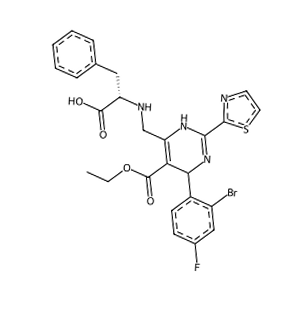 CCOC(=O)C1=C(CN[C@@H](Cc2ccccc2)C(=O)O)NC(c2nccs2)=NC1c1ccc(F)cc1Br